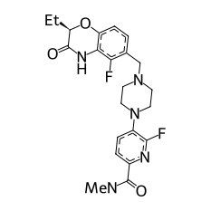 CC[C@H]1Oc2ccc(CN3CCN(c4ccc(C(=O)NC)nc4F)CC3)c(F)c2NC1=O